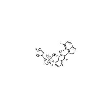 C=CC(=O)N1CC[C@@H]2[C@H]1[C@@H](C)N2c1ncnc2c(F)c(-c3cccc4ccc(F)c(Cl)c34)ncc12